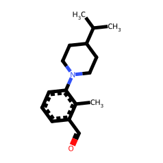 Cc1c(C=O)cccc1N1CCC(C(C)C)CC1